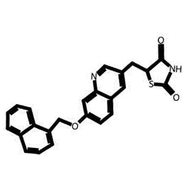 O=C1NC(=O)C(Cc2cnc3cc(OCc4cccc5ccccc45)ccc3c2)S1